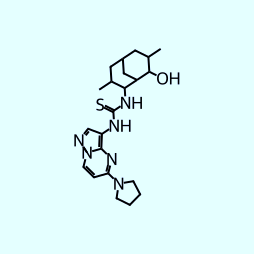 CC1CC2CC(C)C(NC(=S)Nc3cnn4ccc(N5CCCC5)nc34)C(C2)C1O